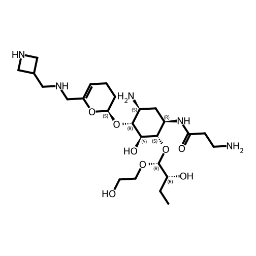 CC[C@@H](O)[C@H](OCCO)O[C@@H]1[C@@H](O)[C@H](O[C@@H]2CCC=C(CNCC3CNC3)O2)[C@@H](N)C[C@H]1NC(=O)CCN